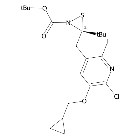 CC(C)(C)OC(=O)N1S[C@@]1(Cc1cc(OCC2CC2)c(Cl)nc1I)C(C)(C)C